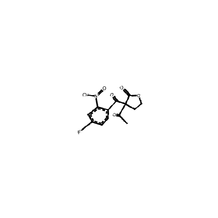 CC(=O)C1(C(=O)c2ccc(F)cc2[N+](=O)[O-])CCOC1=O